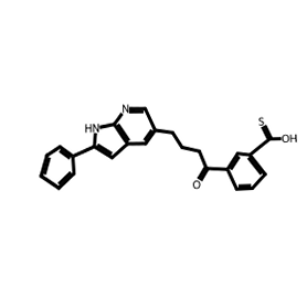 O=C(CCCc1cnc2[nH]c(-c3ccccc3)cc2c1)c1cccc(C(O)=S)c1